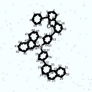 c1ccc(-c2cccc3c2oc2c(-c4ccc(N(c5ccc(-c6ccc7ccc8ccccc8c7c6)cc5)c5cc6ccccc6c6ccccc56)cc4)cccc23)cc1